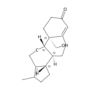 CC1=C2CC[C@H]3[C@@H](CCC4=CC(=O)CC[C@@]43CO)[C@@H]2CC1